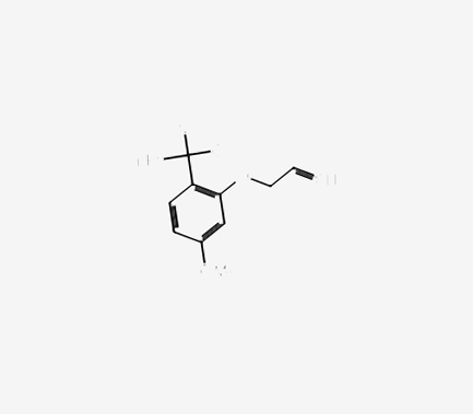 C=CCOc1cc(OC)ccc1C(C)(C)CCC